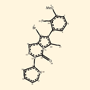 COc1cccc(-c2c(Br)c3cnn(-c4ccccn4)c(=O)n3c2C)c1F